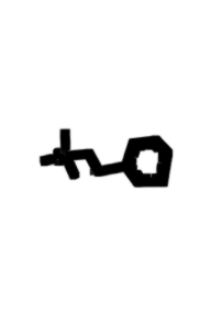 C[Si](C)(C)C[CH]c1ccccc1